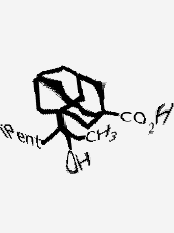 CCCC(C)C(C)(O)C12CC3CC(CC(C(=O)O)(C3)C1)C2